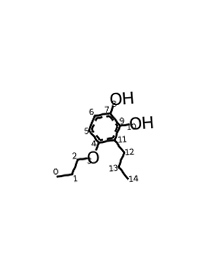 CCCOc1ccc(O)c(O)c1CCC